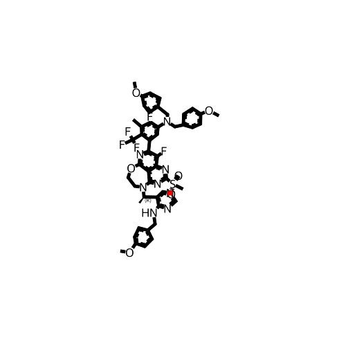 COc1ccc(CNc2ncncc2[C@@H](C)N2CCOc3nc(-c4cc(N(Cc5ccc(OC)cc5)Cc5ccc(OC)cc5)c(F)c(C)c4C(F)(F)F)c(F)c4nc(S(C)(=O)=O)nc2c34)cc1